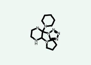 c1nnnn1C1(N2CCCCC2)[N]CCNC1N1CCCC1